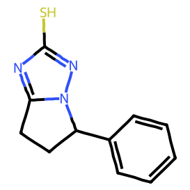 Sc1nc2n(n1)C(c1ccccc1)CC2